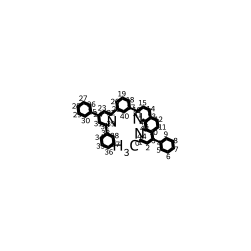 Cc1cc(-c2ccccc2)c2ccc3ccc(-c4cccc(-c5cc(-c6ccccc6)cc(-c6ccccc6)n5)c4)nc3c2n1